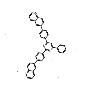 c1ccc(-c2cc(-c3ccc(-c4ccc5ncccc5c4)cc3)nc(-c3ccc(-c4ccc5ncccc5c4)cc3)n2)cc1